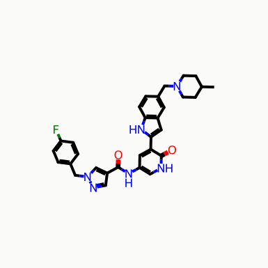 CC1CCN(Cc2ccc3[nH]c(-c4cc(NC(=O)c5cnn(Cc6ccc(F)cc6)c5)c[nH]c4=O)cc3c2)CC1